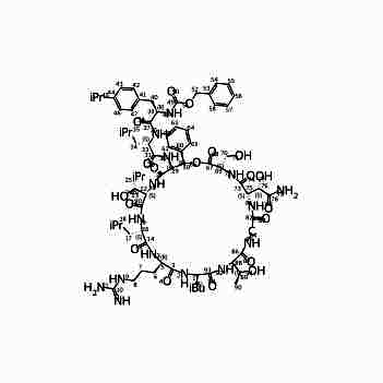 CC[C@H](C)C1NC(=O)[C@@H](CCCNC(=N)N)NC(=O)[C@H](CC(C)C)NC(=O)[C@H]([C@H](O)C(C)C)NC(=O)[C@@H](NC(=O)[C@H](CC(C)C)NC(=O)[C@@H](Cc2ccc(C(C)C)cc2)NC(=O)OCc2ccccc2)[C@@H](c2ccccc2)OC(=O)[C@H](CO)NC(=O)[C@H]([C@H](O)C(N)=O)NC(=O)CNC(=O)C([C@H](C)O)NC1=O